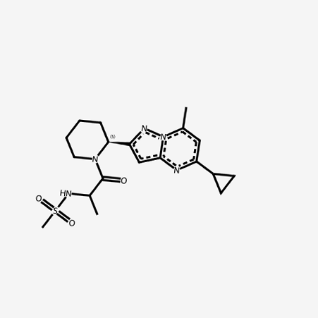 Cc1cc(C2CC2)nc2cc([C@@H]3CCCCN3C(=O)C(C)NS(C)(=O)=O)nn12